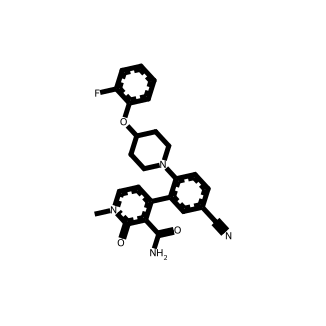 Cn1ccc(-c2cc(C#N)ccc2N2CCC(Oc3ccccc3F)CC2)c(C(N)=O)c1=O